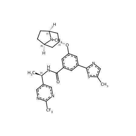 Cc1cnc(-c2cc(O[C@@H]3C[C@H]4CC[C@@H](C3)N4C)cc(C(=O)N[C@H](C)c3cnc(C(F)(F)F)nc3)c2)s1